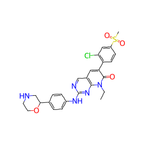 CCn1c(=O)c(-c2ccc(S(C)(=O)=O)cc2Cl)cc2cnc(Nc3ccc(C4CNCCO4)cc3)nc21